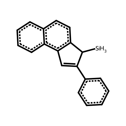 [SiH3]C1C(c2ccccc2)=Cc2c1ccc1ccccc21